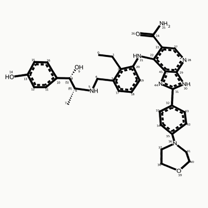 CCc1c(CN[C@H](C)[C@@H](O)c2ccc(O)cc2)cccc1Nc1c(C(N)=O)cnc2[nH]c(-c3ccc(N4CCOCC4)cc3)nc12